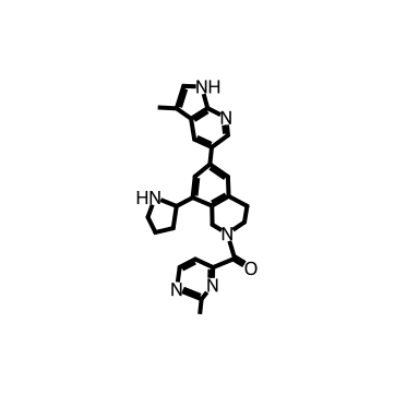 Cc1nccc(C(=O)N2CCc3cc(-c4cnc5[nH]cc(C)c5c4)cc(C4CCCN4)c3C2)n1